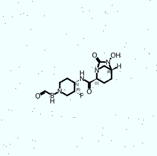 O=CBN1CC[C@H](NC(=O)[C@@H]2CC[C@@H]3CN2C(=O)N3O)[C@H](F)C1